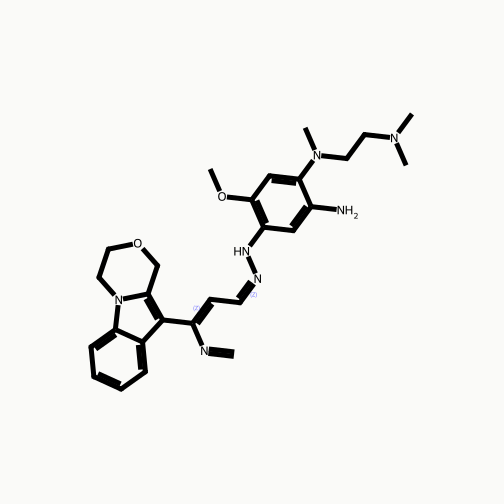 C=N/C(=C\C=N/Nc1cc(N)c(N(C)CCN(C)C)cc1OC)c1c2n(c3ccccc13)CCOC2